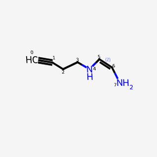 C#CCCN/C=C\N